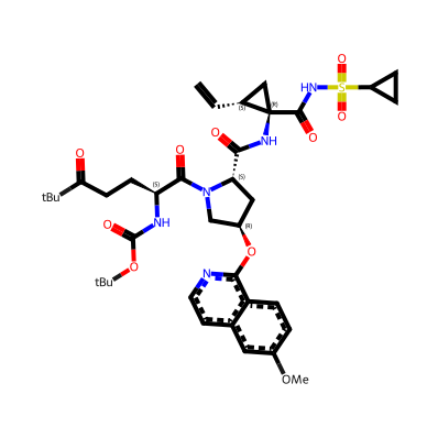 C=C[C@@H]1C[C@]1(NC(=O)[C@@H]1C[C@@H](Oc2nccc3cc(OC)ccc23)CN1C(=O)[C@H](CCC(=O)C(C)(C)C)NC(=O)OC(C)(C)C)C(=O)NS(=O)(=O)C1CC1